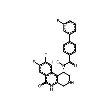 CN(C(=O)c1ccc(-c2cccc(F)c2)cc1)[C@@H]1CNCc2[nH]c(=O)c3cc(F)c(F)cc3c21